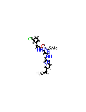 CSc1nc(NCc2cn3cc(C4CC4C)ccc3n2)cc(NC(=O)[C@@H]2C[C@H]2c2cccc(Cl)c2)n1